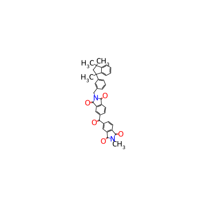 CN1C(=O)c2ccc(C(=O)c3ccc4c(c3)C(=O)N(Cc3cccc(C5(C)CC(C)(C)c6ccccc65)c3)C4=O)cc2C1=O